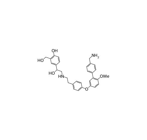 COc1ccc(Oc2ccc(CCNCC(O)c3ccc(O)c(CO)c3)cc2)cc1-c1ccc(CN)cc1